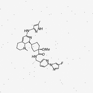 CO[C@]1(C(=O)N[C@@H](C)c2ccc(-n3cc(F)cn3)nc2)CC[C@H](C2N=C(Nc3cc(C)[nH]n3)C=C3CCCN(C)C32)CC1